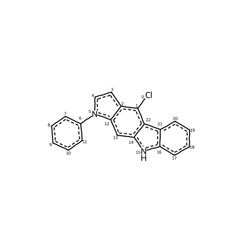 Clc1c2ccn(-c3ccccc3)c2cc2[nH]c3ccccc3c12